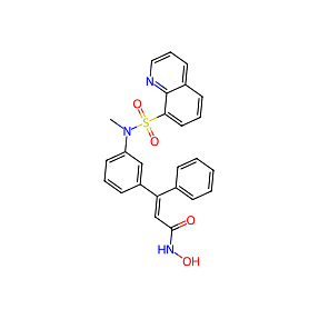 CN(c1cccc(C(=CC(=O)NO)c2ccccc2)c1)S(=O)(=O)c1cccc2cccnc12